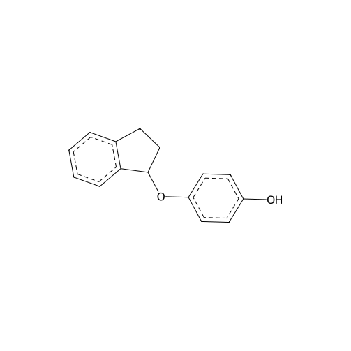 Oc1ccc(OC2CCc3ccccc32)cc1